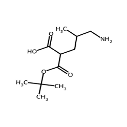 CC(CN)CC(C(=O)O)C(=O)OC(C)(C)C